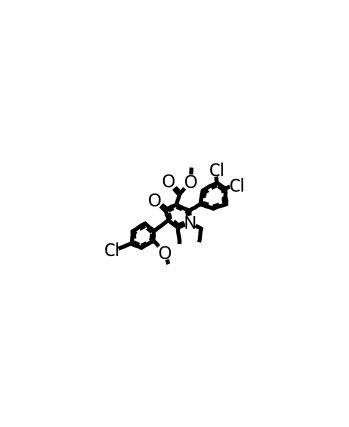 CCn1c(C)c(-c2ccc(Cl)cc2OC)c(=O)c(C(=O)OC)c1-c1ccc(Cl)c(Cl)c1